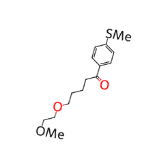 COCCOCCCCC(=O)c1ccc(SC)cc1